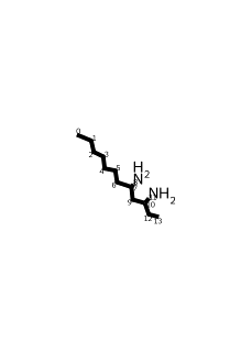 CCCCCCCC(N)CC(N)CC